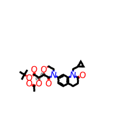 CC(=O)O[C@@H](C(=O)OC(C)(C)C)[C@H]1OCCN(c2ccc3c(c2)N(CC2CC2)C(=O)CC3)C1=O